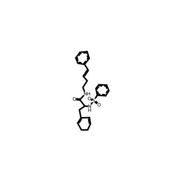 O=C(NCCC=Cc1ccccc1)C(CC1=CC[CH]C=C1)NS(=O)(=O)c1ccccc1